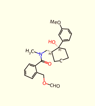 COc1cccc([C@@]2(O)CCCC[C@@H]2CN(C)C(=O)c2ccccc2COC=O)c1